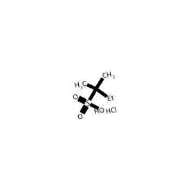 CCC(C)(C)S(=O)(=O)O.Cl